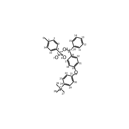 Cc1ccc(S(=O)(=O)O[I+](c2ccccc2)c2ccc(Oc3ccc([Si](C)(C)C)cc3)cc2)cc1